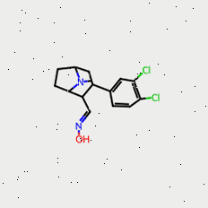 CN1C2CCC1C(C=NO)C(c1ccc(Cl)c(Cl)c1)C2